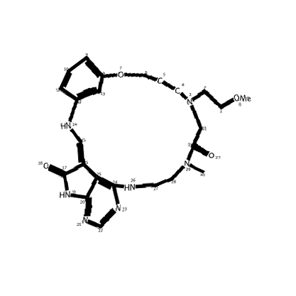 COCCN1CCCOc2cccc(c2)N/C=C2\C(=O)Nc3ncnc(c32)NCCN(C)C(=O)C1